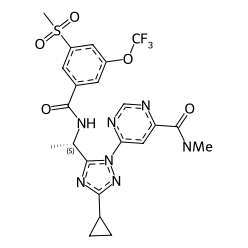 CNC(=O)c1cc(-n2nc(C3CC3)nc2[C@H](C)NC(=O)c2cc(OC(F)(F)F)cc(S(C)(=O)=O)c2)ncn1